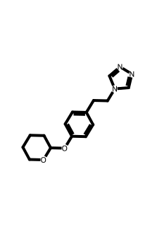 c1cc(OC2CCCCO2)ccc1CCn1cnnc1